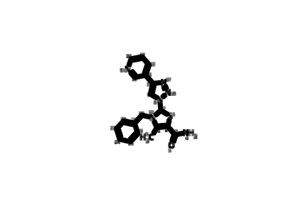 CC1=C(C(N)=O)SC(n2cc(-c3cccnc3)nn2)N1Cc1ccccc1